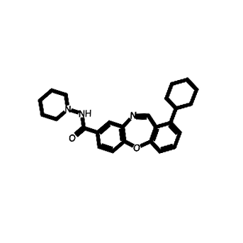 O=C(NN1CCCCC1)c1ccc2c(c1)N=Cc1c(cccc1C1CCCCC1)O2